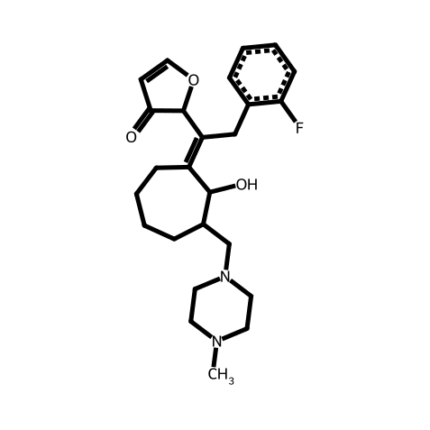 CN1CCN(CC2CCCCC(=C(Cc3ccccc3F)C3OC=CC3=O)C2O)CC1